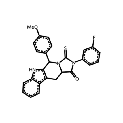 COc1ccc(C2c3[nH]c4ccccc4c3CC3C(=O)N(c4cccc(F)c4)C(=S)N32)cc1